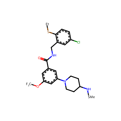 CCSc1ccc(Cl)cc1CNC(=O)c1cc(OC(F)(F)F)cc(N2CCC(NSC)CC2)c1